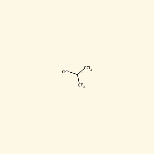 CCCC(C(F)(F)F)C(Cl)(Cl)Cl